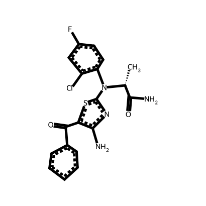 C[C@H](C(N)=O)N(c1nc(N)c(C(=O)c2ccccc2)s1)c1ccc(F)cc1Cl